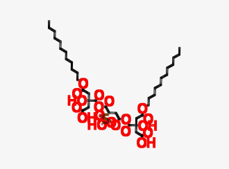 CCCCCCCCCCCCOC(=O)CC(O)(CC(=O)O)C(=O)OC(=O)CC(C(=O)OC(=O)C(O)(CC(=O)O)CC(=O)OCCCCCCCCCCCC)S(=O)(=O)O